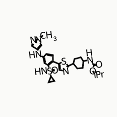 CC(C)OC(=O)NC1CCC(c2ncc(-c3ccc(Nc4cnn(C)c4)cc3S(=N)(=O)C3CC3)s2)CC1